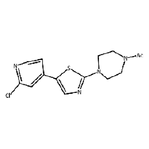 CC(=O)N1CCN(c2ncc(-c3ccnc(Cl)c3)s2)CC1